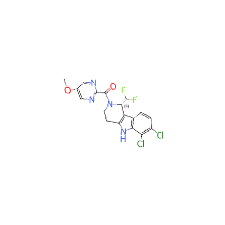 COc1cnc(C(=O)N2CCc3[nH]c4c(Cl)c(Cl)ccc4c3[C@H]2C(F)F)nc1